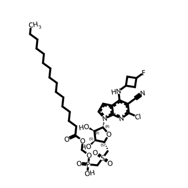 CCCCCCCCCCCCCCCC(=O)OCOP(=O)(O)CS(=O)(=O)C[C@H]1O[C@@H](n2ccc3c(NC4CC(F)C4)c(C#N)c(Cl)nc32)[C@H](O)[C@@H]1O